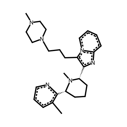 Cc1cccnc1[C@H]1CCC[C@@H](c2nc3ccccn3c2CCCN2CCN(C)CC2)N1C